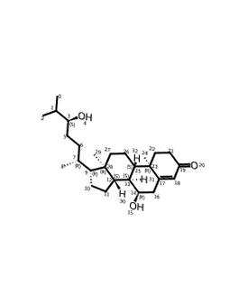 CC(C)[C@@H](O)CC[C@@H](C)[C@H]1CC[C@H]2[C@@H]3[C@H](O)CC4=CC(=O)CC[C@]4(C)[C@H]3CC[C@]12C